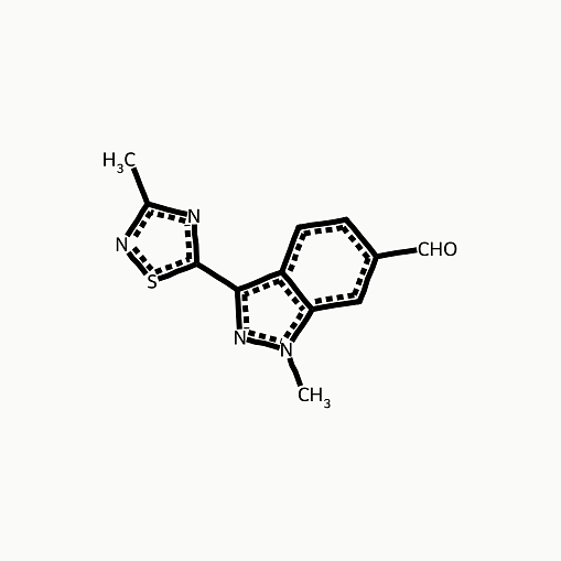 Cc1nsc(-c2nn(C)c3cc(C=O)ccc23)n1